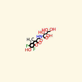 Cc1c(CC(=O)N[C@@H](C=O)[C@H](O)[C@@H](O)[C@@H](O)CO)c(=O)oc2c(F)c(O)c(F)cc12